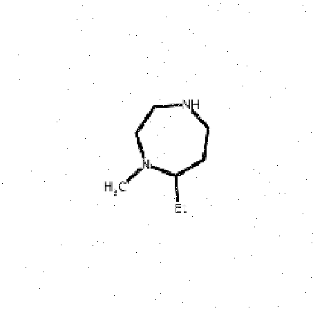 CCC1CCNCCN1C